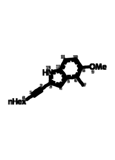 CCCCCCC#Cc1cc2c(C)c(OC)ccc2[nH]1